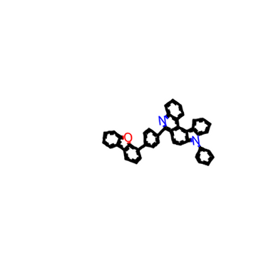 c1ccc(-n2c3ccccc3c3c4c(ccc32)c(-c2ccc(-c3cccc5c3oc3ccccc35)cc2)nc2ccccc24)cc1